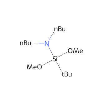 CCCCN(CCCC)[Si](OC)(OC)C(C)(C)C